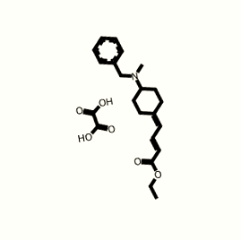 CCOC(=O)C=CC=C1CCC(N(C)Cc2ccccc2)CC1.O=C(O)C(=O)O